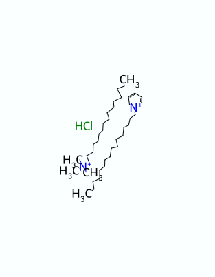 CCCCCCCCCCCCCCCC[N+](C)(C)C.CCCCCCCCCCCCCCCC[n+]1ccccc1.Cl